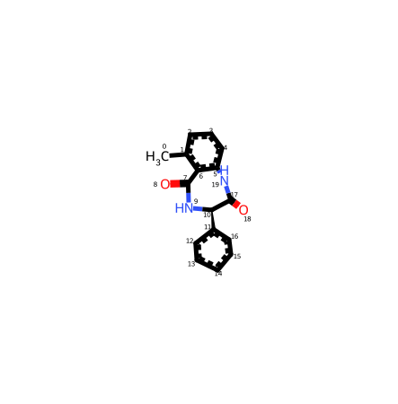 Cc1cccc2c1C(=O)N[C@H](c1ccccc1)C(=O)N2